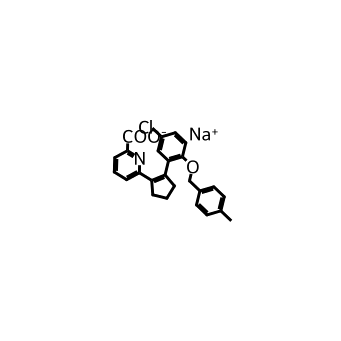 Cc1ccc(COc2ccc(Cl)cc2C2=C(c3cccc(C(=O)[O-])n3)CCC2)cc1.[Na+]